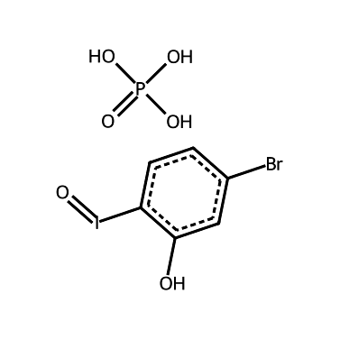 O=Ic1ccc(Br)cc1O.O=P(O)(O)O